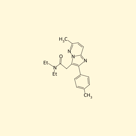 CCN(CC)C(=O)Cc1c(-c2ccc(C)cc2)nc2ccc(C)nn12